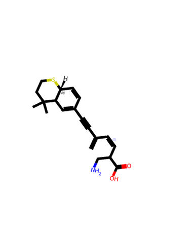 C=C(C#CC1=CC2[C@@H](C=C1)SCCC2(C)C)/C=C\C(CN)C(=O)O